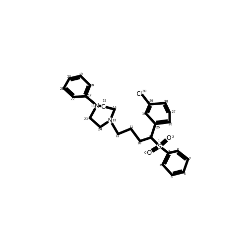 O=S(=O)(c1ccccc1)C(CCCN1CCN(c2ccccc2)CC1)c1cccc(Cl)c1